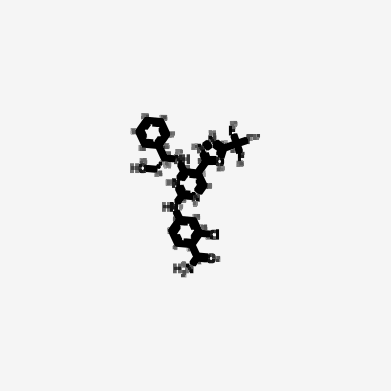 NC(=O)c1ccc(Nc2ncc(-c3nnc(C(F)(F)F)o3)c(N[C@H](CO)c3ccccc3)n2)cc1Cl